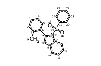 [CH2]c1ccccc1-c1cc2ccccc2n1S(=O)(=O)c1ccccc1